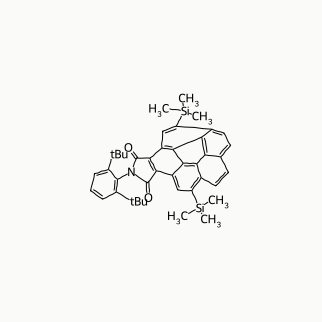 CC(C)(C)c1cccc(C(C)(C)C)c1-n1c(=O)c2c3cc([Si](C)(C)C)c4ccc5ccc6c([Si](C)(C)C)cc(c2c1=O)c1c6c5c4c31